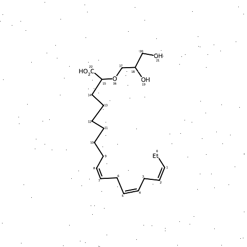 CC/C=C\C/C=C\C/C=C\CCCCCCC(OCC(O)CO)C(=O)O